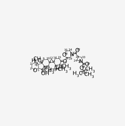 C[C@@H]1CCOC2C1C1(C)CCC34CC35CCC(OC3CN(C(=O)C6CN(C(=O)OC(C)(C)C)C6)CCO3)C(C)(C)[C@@H]5CCC4[C@]1(C)[C@H]2O